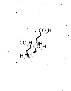 C=CC(=O)O.NCCC(=O)O.NCCC(=O)O